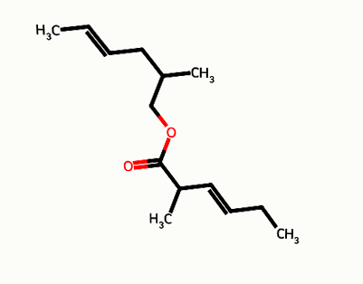 CC=CCC(C)COC(=O)C(C)C=CCC